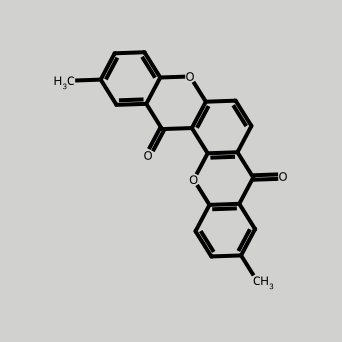 Cc1ccc2oc3c(ccc4oc5ccc(C)cc5c(=O)c43)c(=O)c2c1